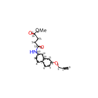 C#CCOc1ccc2ccc(NC(=O)CCC(=O)OC)cc2c1